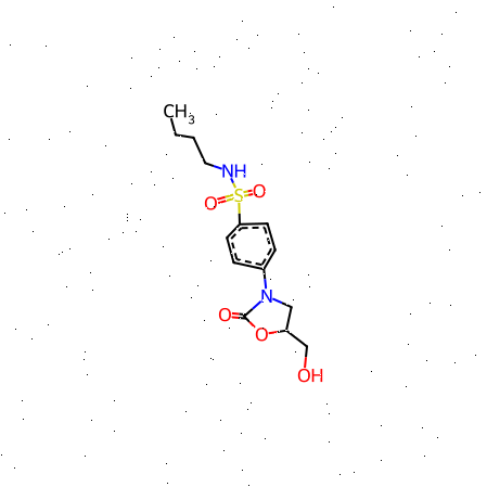 CCCCNS(=O)(=O)c1ccc(N2CC(CO)OC2=O)cc1